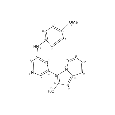 COc1ccc(Nc2cncc(-c3c(C(F)(F)F)nc4ccccn34)n2)cc1